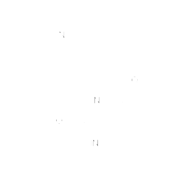 O=c1[nH]c2ccccc2c(=O)n1-c1c2c(nc3ccccc13)CCCC2